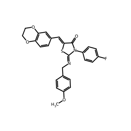 COc1ccc(C/N=C2\S/C(=C\c3ccc4c(c3)OCCO4)C(=O)N2c2ccc(F)cc2)cc1